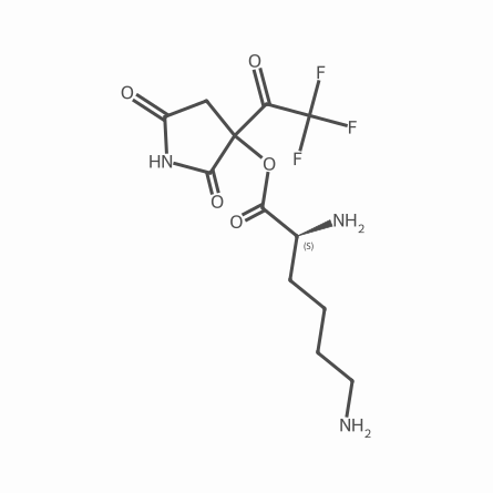 NCCCC[C@H](N)C(=O)OC1(C(=O)C(F)(F)F)CC(=O)NC1=O